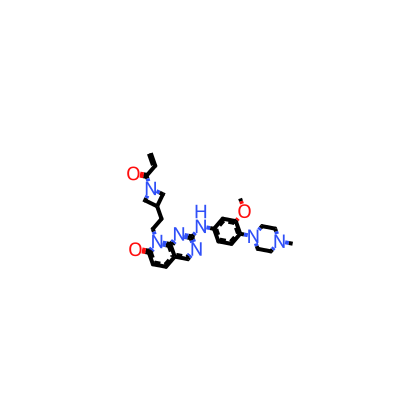 C=CC(=O)N1CC(CCn2c(=O)ccc3cnc(Nc4ccc(N5CCN(C)CC5)c(OC)c4)nc32)C1